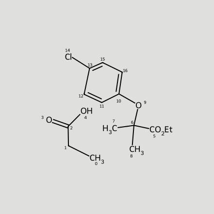 CCC(=O)O.CCOC(=O)C(C)(C)Oc1ccc(Cl)cc1